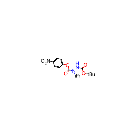 CC(C)N(NC(=O)OC(C)(C)C)C(=O)Oc1ccc([N+](=O)[O-])cc1